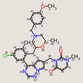 COc1ccc(CN2CC(Cc3c(C)cc(Cl)cc3-c3ncnn4cc(Cn5c(=O)ccn(C)c5=O)cc34)O[C@@H](C)C2)cc1